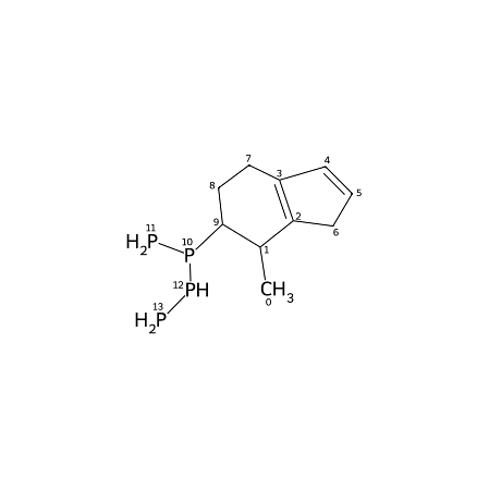 CC1C2=C(C=CC2)CCC1P(P)PP